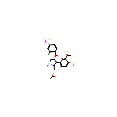 COc1cc(OC)c(C2CCN(C)C2COC(C)=O)c(OC(=O)c2ccc([N+](=O)[O-])cc2Cl)c1C(C)=O